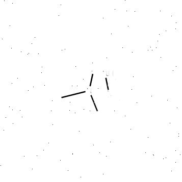 BN.CN(C)C